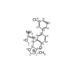 C[C@]12CCO[C@H]1[C@]1(COC(N)=N1)c1cc(-c3cncc(Cl)c3)ccc1O2